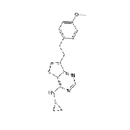 COc1ccc(CCc2csc3c(NC4CC4)ncnc23)cc1